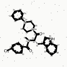 CN(C(=O)c1ccc(Cl)cc1)[C@@H](Cc1c[nH]c2ccccc12)C(=O)N1CCN(c2ccccc2)CC1